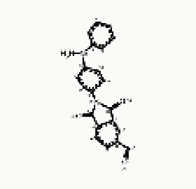 NN(c1ccccc1)c1ccc(N2C(=O)c3ccc(C=O)cc3C2=O)cc1